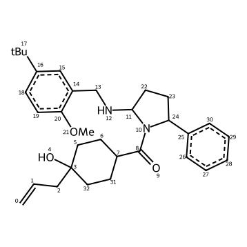 C=CCC1(O)CCC(C(=O)N2C(NCc3cc(C(C)(C)C)ccc3OC)CCC2c2ccccc2)CC1